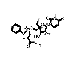 CC(C)OC(=O)[C@H](C)NP(=O)(OC[C@@]1(CF)O[C@@H](n2ccc(=S)[nH]c2=O)[C@@H](F)C1O)Oc1ccccc1